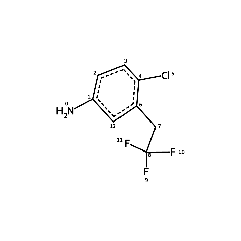 Nc1ccc(Cl)c([CH]C(F)(F)F)c1